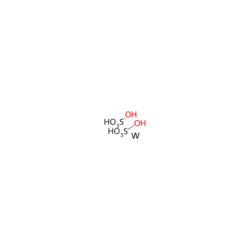 O=S(=O)(O)O.O=S(=O)(O)O.[W]